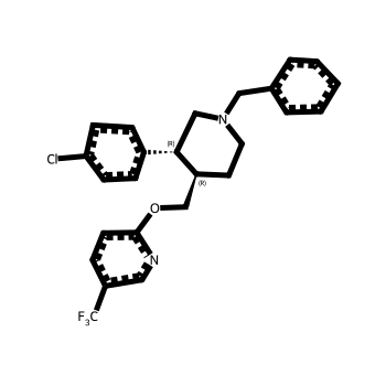 FC(F)(F)c1ccc(OC[C@@H]2CCN(Cc3ccccc3)C[C@H]2c2ccc(Cl)cc2)nc1